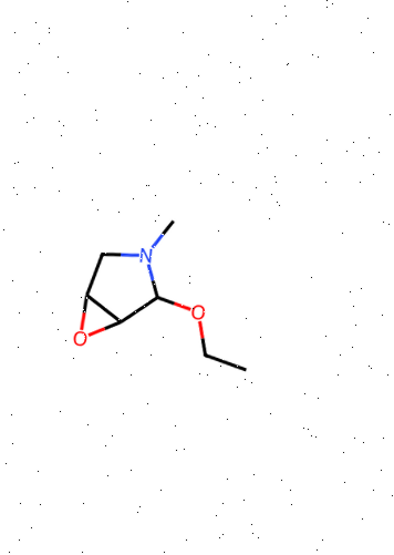 CCOC1C2OC2CN1C